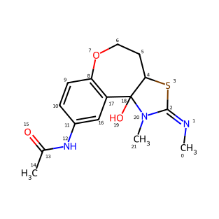 CN=C1SC2CCOc3ccc(NC(C)=O)cc3C2(O)N1C